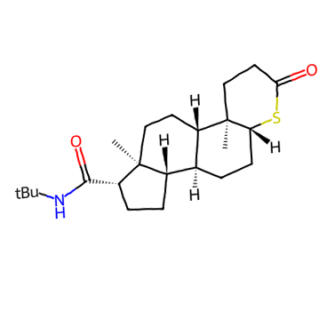 CC(C)(C)NC(=O)[C@H]1CC[C@H]2[C@@H]3CC[C@H]4SC(=O)CC[C@]4(C)[C@H]3CC[C@]12C